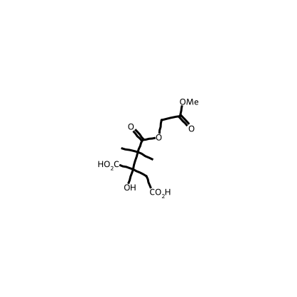 COC(=O)COC(=O)C(C)(C)C(O)(CC(=O)O)C(=O)O